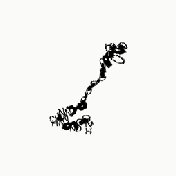 CNC(=O)COc1cc2cc(Nc3nc(N4CCC(c5cccc(OCCOCCOCCOCCOc6ccc7c(c6)CN(C6CCC(=O)NC6=O)C7=O)c5)CC4)ncc3Cl)ccc2n(C)c1=O